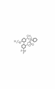 COc1ccc(C(C)C)cc1-c1ccc(C(F)(F)F)cc1C1CN(Cc2ccccc2)C(=O)O1